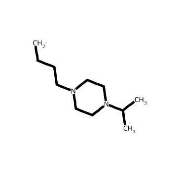 [CH2]CCCN1CCN(C(C)C)CC1